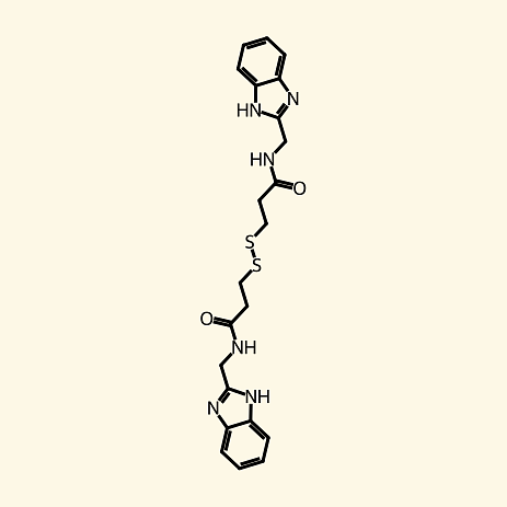 O=C(CCSSCCC(=O)NCc1nc2ccccc2[nH]1)NCc1nc2ccccc2[nH]1